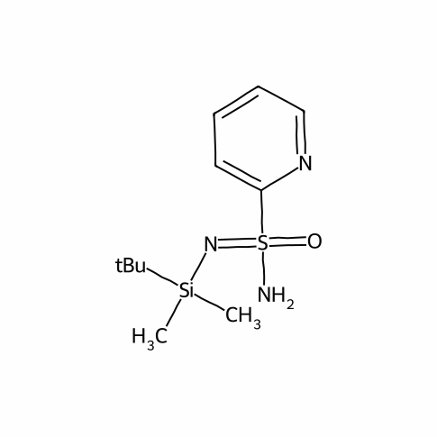 CC(C)(C)[Si](C)(C)N=S(N)(=O)c1ccccn1